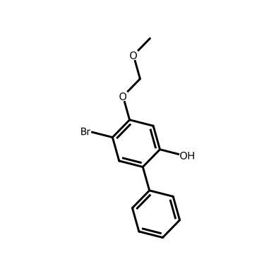 COCOc1cc(O)c(-c2ccccc2)cc1Br